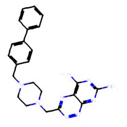 Nc1nc(N)c2nc(CN3CCN(Cc4ccc(-c5ccccc5)cc4)CC3)nnc2n1